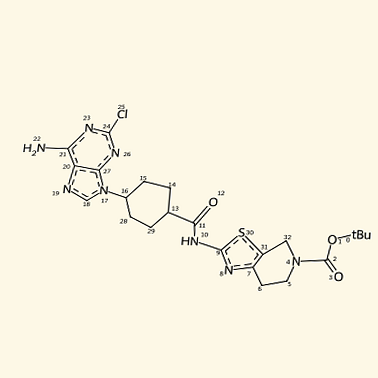 CC(C)(C)OC(=O)N1CCc2nc(NC(=O)C3CCC(n4cnc5c(N)nc(Cl)nc54)CC3)sc2C1